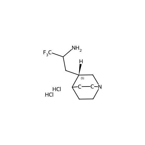 Cl.Cl.NC(C[C@@H]1CN2CCC1CC2)C(F)(F)F